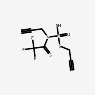 C#CCSP(=O)(S)N(CC#C)C(=S)C(F)(F)F